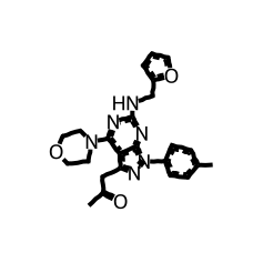 CC(=O)Cc1nn(-c2ccc(C)cc2)c2nc(NCc3ccco3)nc(N3CCOCC3)c12